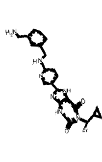 CCC(C1CC1)n1c(=O)[nH]c2nc(-c3ccc(NCc4cccc(CN)c4)nc3)[nH]c2c1=O